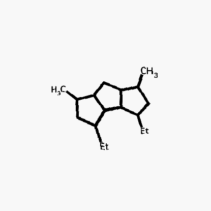 CCC1CC(C)C2CC3C(C)CC(CC)C3C12